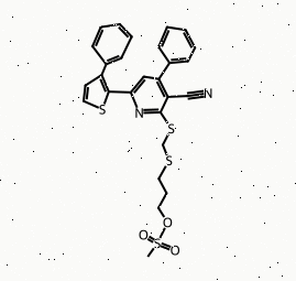 CS(=O)(=O)OCCCSCSc1nc(-c2sccc2-c2ccccc2)cc(-c2ccccc2)c1C#N